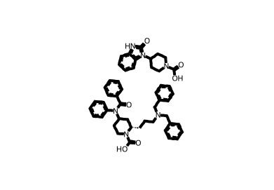 O=C(O)N1CCC(n2c(=O)[nH]c3ccccc32)CC1.O=C(c1ccccc1)N(c1ccccc1)C1CCN(C(=O)O)[C@@H](CCCN(Cc2ccccc2)Cc2ccccc2)C1